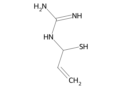 C=CC(S)NC(=N)N